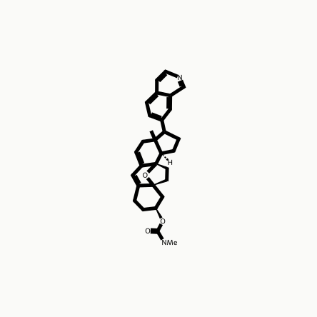 CNC(=O)O[C@H]1CCC2=CC3=CCC4(C)C(c5ccc6ccncc6c5)CC[C@H]4[C@@]34CC[C@]2(C1)O4